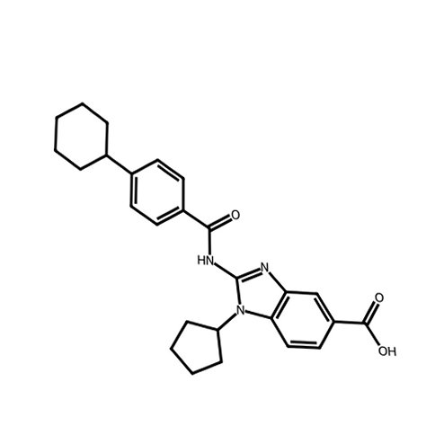 O=C(O)c1ccc2c(c1)nc(NC(=O)c1ccc(C3CCCCC3)cc1)n2C1CCCC1